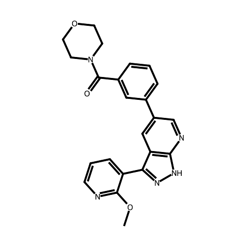 COc1ncccc1-c1n[nH]c2ncc(-c3cccc(C(=O)N4CCOCC4)c3)cc12